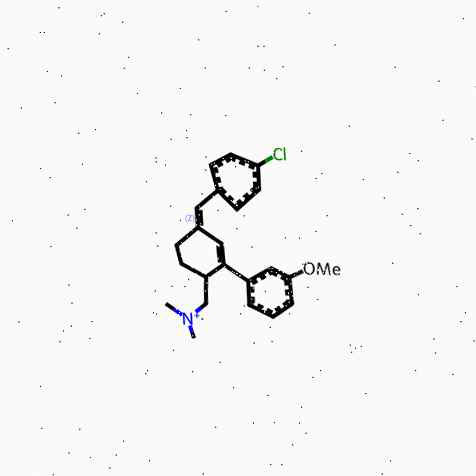 COc1cccc(C2=C/C(=C\c3ccc(Cl)cc3)CCC2C[N+](C)C)c1